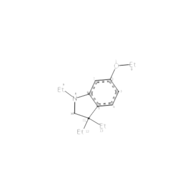 CCOc1ccc2c(c1)N(CC)CC2(CC)CC